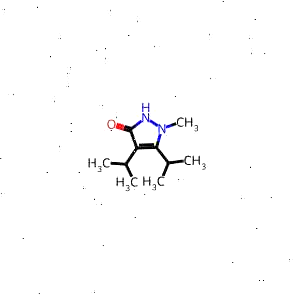 CC(C)c1c(C(C)C)n(C)[nH]c1=O